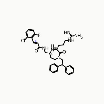 N=C(N)NCCC[C@@H]1N[C@H](CNC(=O)/C=C/c2c(F)cccc2Cl)CCN(CC(c2ccccc2)c2ccccc2)C1=O